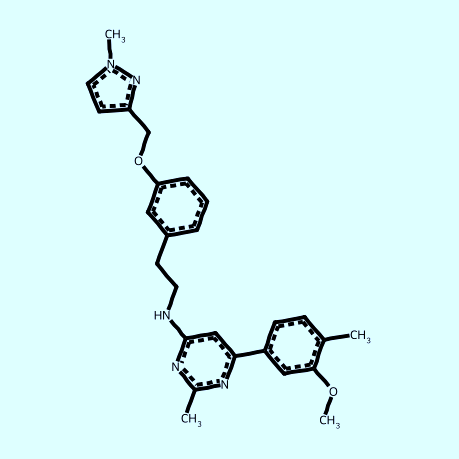 COc1cc(-c2cc(NCCc3cccc(OCc4ccn(C)n4)c3)nc(C)n2)ccc1C